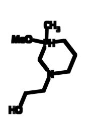 CO[PH]1(C)CCCN(CCO)C1